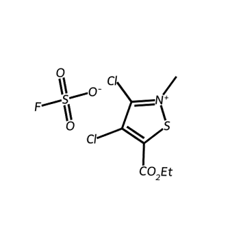 CCOC(=O)c1s[n+](C)c(Cl)c1Cl.O=S(=O)([O-])F